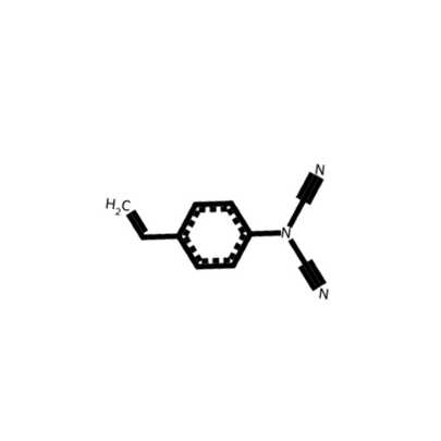 C=Cc1ccc(N(C#N)C#N)cc1